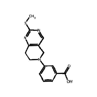 CSc1ncc2c(n1)CCN(c1cccc(C(=O)O)c1)C2